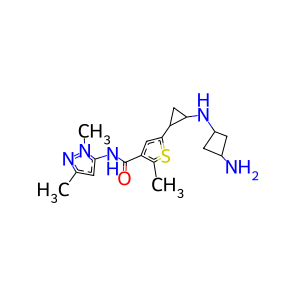 Cc1cc(NC(=O)c2cc(C3CC3NC3CC(N)C3)sc2C)n(C)n1